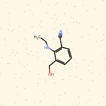 CCNc1c(C#N)cccc1CO